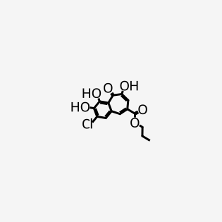 CCCOC(=O)c1cc(O)c(=O)c2c(O)c(O)c(Cl)cc2c1